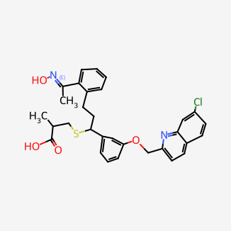 C/C(=N\O)c1ccccc1CCC(SCC(C)C(=O)O)c1cccc(OCc2ccc3ccc(Cl)cc3n2)c1